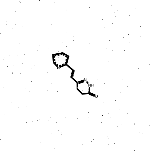 O=C1CCC(/C=C/c2ccccn2)=NN1